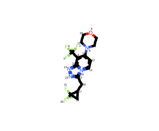 FC(F)(F)c1c(N2CCOCC2)ccn2c(CC3CC3(F)F)nnc12